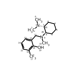 CN(C)[C@@H]1CCCC[C@H]1N(C)Cc1cccc(C(F)(F)F)c1O